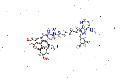 Nc1ncnc2c1nc(Sc1cc(Cl)cc(Cl)c1)n2CCCCCCCCNC(=S)Nc1ccc(-c2c3ccc(=O)cc-3oc3cc(O)ccc23)c(C(=O)O)c1